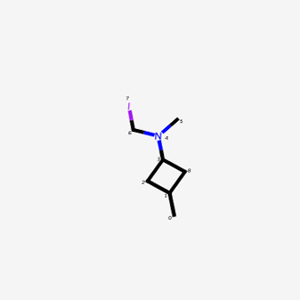 CC1CC(N(C)CI)C1